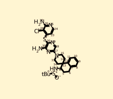 CC(C)(C)[S+]([O-])N[C@@H]1CCc2ccccc2C12CCN(c1cnc(Sc3ccnc(N)c3Cl)c(N)n1)CC2